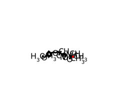 COc1ccc(COCC(C)(C)c2cc(NC(=O)C(C)(C)C)on2)cc1